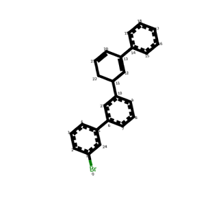 Brc1cccc(-c2cccc(C3C=C(c4ccccc4)C=CC3)c2)c1